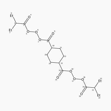 CCC(CC)C(=O)OOOC(=O)C1CCC(C(=O)OOOC(=O)C(CC)CC)CC1